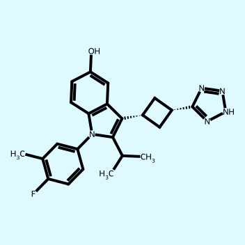 Cc1cc(-n2c(C(C)C)c([C@H]3C[C@@H](c4nn[nH]n4)C3)c3cc(O)ccc32)ccc1F